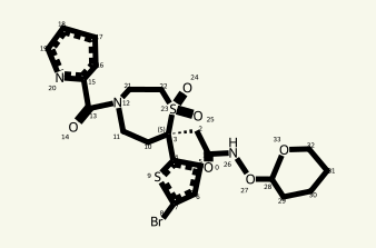 O=C(C[C@]1(c2ccc(Br)s2)CCN(C(=O)c2ccccn2)CCS1(=O)=O)NOC1CCCCO1